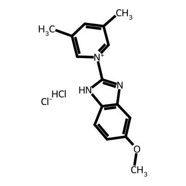 COc1ccc2[nH]c(-[n+]3cc(C)cc(C)c3)nc2c1.Cl.[Cl-]